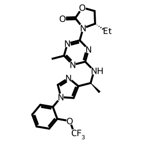 CC[C@H]1COC(=O)N1c1nc(C)nc(N[C@@H](C)c2cn(-c3ccccc3OC(F)(F)F)cn2)n1